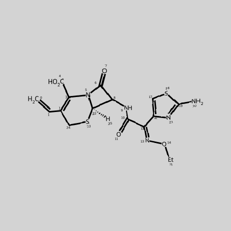 C=CC1=C(C(=O)O)N2C(=O)C(NC(=O)/C(=N/OCC)c3csc(N)n3)[C@H]2SC1